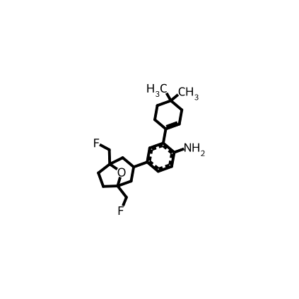 CC1(C)CC=C(c2cc(C3CC4(CF)CCC(CF)(C3)O4)ccc2N)CC1